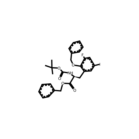 CC(C)(C)OC(=O)N[C@@H](Cc1cc(I)cc(F)c1OCc1ccccc1)C(=O)OCc1ccccc1